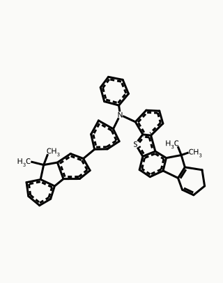 CC1(C)C2=C(C=CCC2)c2ccc3sc4c(N(c5ccccc5)c5ccc(-c6ccc7c(c6)C(C)(C)c6ccccc6-7)cc5)cccc4c3c21